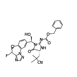 CC(C)(C#N)C[C@H]1NC(=NC(=O)OCc2ccccc2)N([C@H](CO)c2ccc(Cl)c(-n3ncnc3C(F)F)c2)C1=O